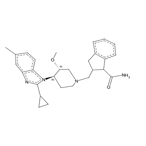 CO[C@@H]1CN(CC2Cc3c[c]ccc3C2C(N)=O)CC[C@H]1n1c(C2CC2)nc2cc(C)ccc21